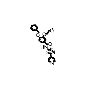 COCCOc1cc(C(=O)Nc2nnc(-c3ccncc3)s2)ccc1OCc1ccccc1